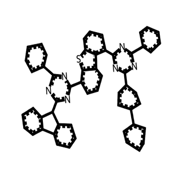 c1ccc(-c2ccc(-c3nc(-c4ccccc4)nc(-c4cccc5sc6c(-c7nc(-c8ccccc8)nc(C8c9ccccc9-c9ccccc98)n7)cccc6c45)n3)cc2)cc1